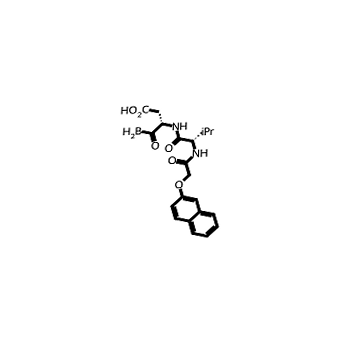 BC(=O)[C@H](CC(=O)O)NC(=O)[C@@H](NC(=O)COc1ccc2ccccc2c1)C(C)C